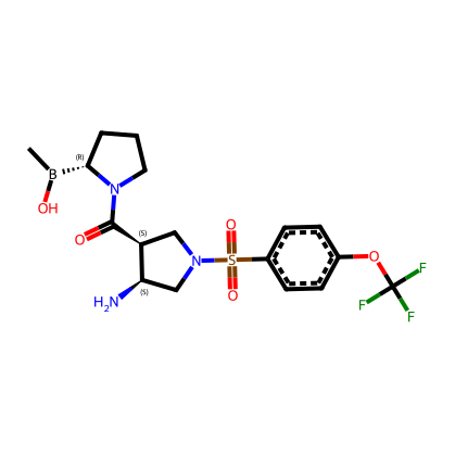 CB(O)[C@@H]1CCCN1C(=O)[C@H]1CN(S(=O)(=O)c2ccc(OC(F)(F)F)cc2)C[C@H]1N